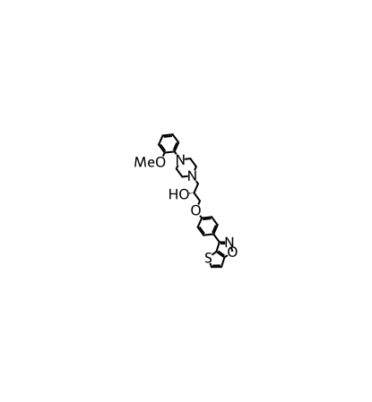 COc1ccccc1N1CCN(C[C@@H](O)COc2ccc(-c3noc4ccsc34)cc2)CC1